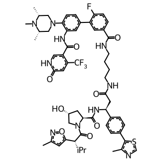 Cc1cc([C@H](C(=O)N2C[C@H](O)C[C@H]2C(=O)N[C@@H](CC(=O)NCCCCNC(=O)c2ccc(F)c(-c3ccc(N4C[C@@H](C)N(C)[C@@H](C)C4)c(NC(=O)c4c[nH]c(=O)cc4C(F)(F)F)c3)c2)c2ccc(-c3scnc3C)cc2)C(C)C)on1